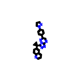 c1cnc2ccc(C3(c4nnc5ncc(-c6ccc(-n7cccn7)cc6)nn45)CC3)cc2c1